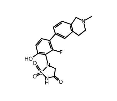 CN1CCc2cc(-c3ccc(O)c(N4CC(=O)NS4(=O)=O)c3F)ccc2C1